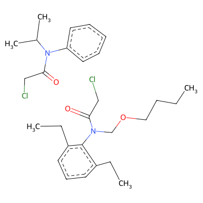 CC(C)N(C(=O)CCl)c1ccccc1.CCCCOCN(C(=O)CCl)c1c(CC)cccc1CC